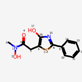 CN(O)C(=O)Cc1sc(-c2ccccc2)nc1O